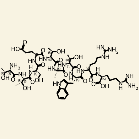 C[C@H](NC(=O)[C@@H](NC(=O)[C@H](CCC(=O)O)NC(=O)[C@H](CO)NC(=O)[C@@H](NC(=O)[C@@H](N)[C@@H](C)O)[C@@H](C)O)[C@@H](C)O)C(=O)N[C@H](C(=O)N[C@@H](Cc1c[nH]c2ccccc12)C(=O)N[C@@H](CCCNC(=N)N)C(=O)N[C@@H](CCCNC(=N)N)C(=O)O)[C@@H](C)O